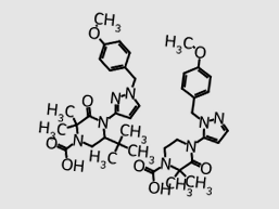 COc1ccc(Cn2ccc(N3C(=O)C(C)(C)N(C(=O)O)CC3C(C)(C)C)n2)cc1.COc1ccc(Cn2nccc2N2CCN(C(=O)O)C(C)(C)C2=O)cc1